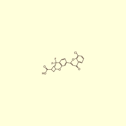 O=C(O)C1CC(Oc2cc(-c3cc(=O)c4cccc(Cl)c4o3)ccc2C(F)(F)F)C1